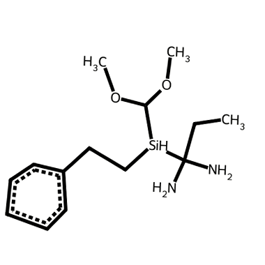 CCC(N)(N)[SiH](CCc1ccccc1)C(OC)OC